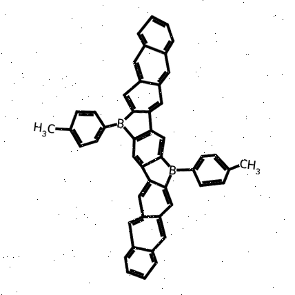 Cc1ccc(B2c3cc4c(cc3-c3cc5cc6ccccc6cc5cc32)B(c2ccc(C)cc2)c2cc3cc5ccccc5cc3cc2-4)cc1